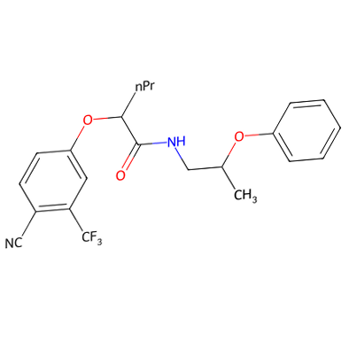 CCCC(Oc1ccc(C#N)c(C(F)(F)F)c1)C(=O)NCC(C)Oc1ccccc1